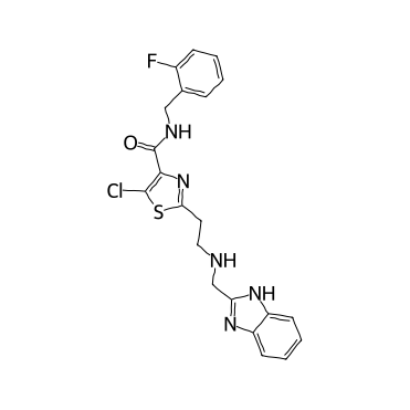 O=C(NCc1ccccc1F)c1nc(CCNCc2nc3ccccc3[nH]2)sc1Cl